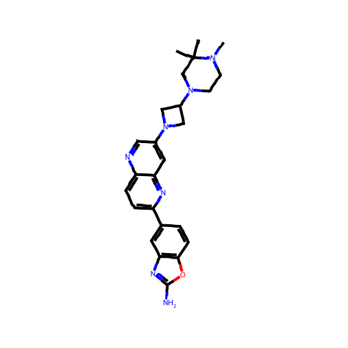 CN1CCN(C2CN(c3cnc4ccc(-c5ccc6oc(N)nc6c5)nc4c3)C2)CC1(C)C